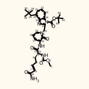 COC(=O)N[C@@H](CC/C=C/C(N)=O)C(=O)Nc1cccn(Cc2nc3c(CC(C)(C)C)cccc3n2C(=O)OC(C)(C)C)c1=O